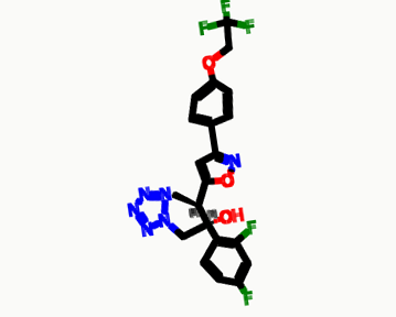 C[C@@H](c1cc(-c2ccc(OCC(F)(F)F)cc2)no1)[C@](O)(Cn1nnnn1)c1ccc(F)cc1F